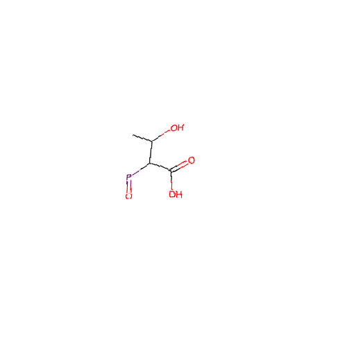 CC(O)C(P=O)C(=O)O